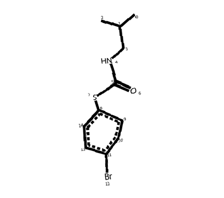 CC(C)CNC(=O)Sc1ccc(Br)cc1